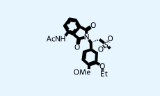 CCOC1=C(OC)C=CC([C@@H](CS(C)(=O)=O)N2C(=O)c3cccc(NC(C)=O)c3C2=O)C1